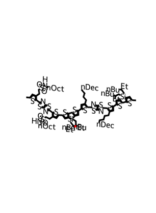 CCCCCCCCCCCCCCc1cc(-c2cc3c(s2)-c2sc(C)cc2[Si]3(CC(CC)CCCC)CC(CC)CCCC)sc1-c1nc2sc(-c3sc(-c4cc5c(s4)-c4sc(-c6cc(CCS(=O)(=O)NCCCCCCCC)c(-c7nc8sc(-c9sc(C)cc9CCS(=O)(=O)NCCCCCCCC)nc8s7)s6)cc4[Si]5(CC(CC)CCCC)CC(CC)CCCC)cc3CCCCCCCCCCCCCC)nc2s1